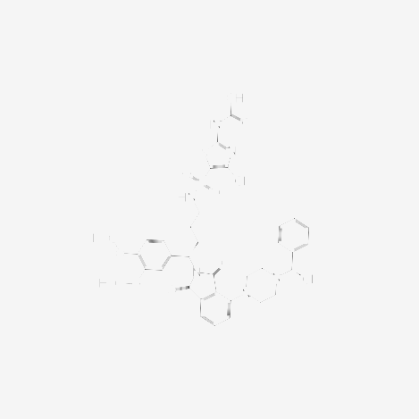 COc1ccc([C@@H](CCCNS(=O)(=O)c2sc(NC(C)=O)nc2C)N2C(=O)c3cccc(N4CCN([C@H](C)c5ccccc5)CC4)c3C2=O)cc1OC